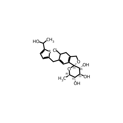 CC(O)c1ccc(CC2=CC3=C(CO[C@]34O[C@H](C)[C@@H](O)[C@H](O)[C@H]4O)CC2Cl)s1